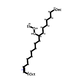 CCCCCCCC/C=C\CCCCCCCC(CCCCCCCCCCCCCCCC)OOCC